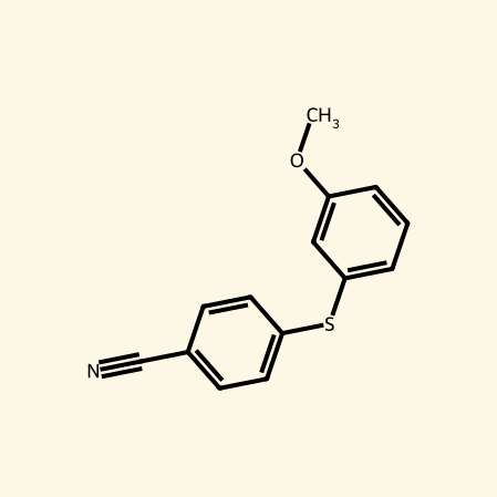 COc1cccc(Sc2ccc(C#N)cc2)c1